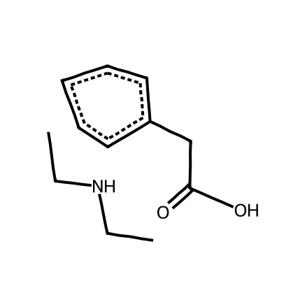 CCNCC.O=C(O)Cc1ccccc1